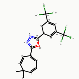 CC1(C)C=CC=C(c2nnc(C3C=C(C(F)(F)F)C=C(C(F)(F)F)C3)o2)C=C1